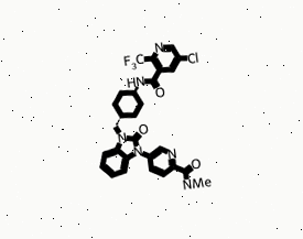 CNC(=O)c1ccc(-n2c(=O)n(C[C@H]3CC[C@H](NC(=O)c4cc(Cl)cnc4C(F)(F)F)CC3)c3ccccc32)cn1